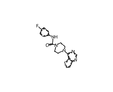 O=C(Nc1ccc(F)cc1)N1CCN(c2ncnc3ccsc23)CC1